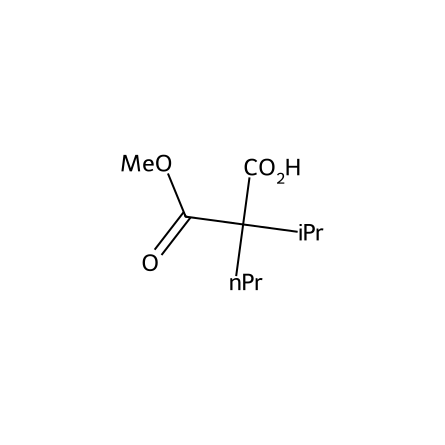 CCCC(C(=O)O)(C(=O)OC)C(C)C